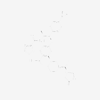 C[C@H](NC(=O)c1ncco1)[C@H](Oc1ccc(C(=O)O)c([C@@H]2CCCN(C(=O)[C@H]3COC(=O)C3)C2)c1)c1ccc(C2CC2)cc1